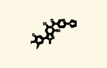 CCC1Cc2c(nn(C)c2-c2cc(F)c(F)c(F)c2)C(CC)N1C(=O)c1ccc(-n2cccc2)nc1